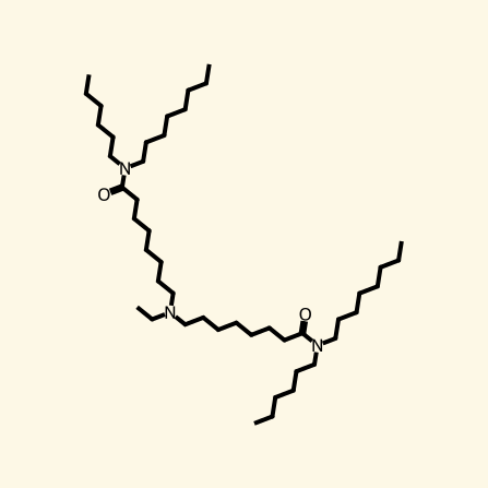 CCCCCCCCN(CCCCCC)C(=O)CCCCCCCN(CC)CCCCCCCC(=O)N(CCCCCC)CCCCCCCC